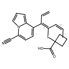 C=C/C(=C(\C=C/C)SC1(C(=O)O)CCC1)c1ccc(C#N)n2cccc12